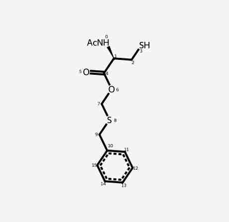 CC(=O)N[C@@H](CS)C(=O)OCSCc1ccccc1